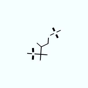 CS(=O)(=O)OCC(F)C(F)(F)S(C)(=O)=O